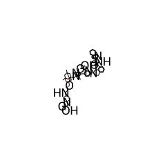 Cc1c(-c2ccc(N3CCc4cccc(C(=O)Nc5nc6ccccc6s5)c4C3)nc2C(=O)O)cnn1CC12CC3(C)CC(C)(C1)CC(OCCNC1CCN(CC(=O)O)CC1)(C3)C2